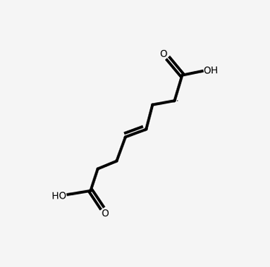 O=C(O)[CH]C/C=C/CCC(=O)O